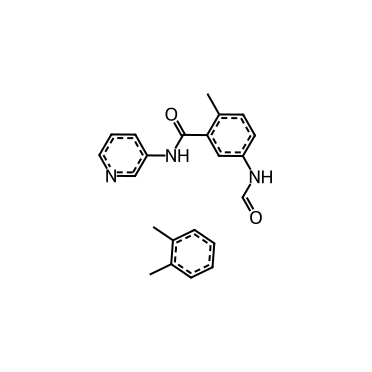 Cc1ccc(NC=O)cc1C(=O)Nc1cccnc1.Cc1ccccc1C